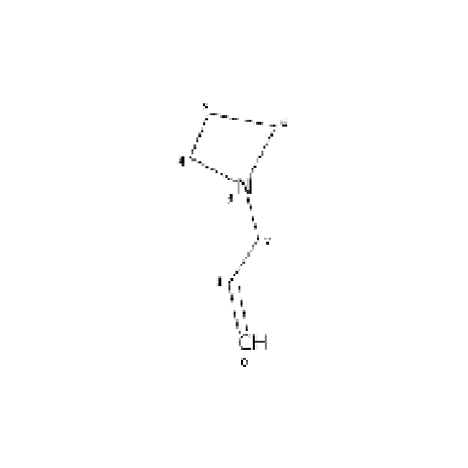 [CH]=CCN1CCC1